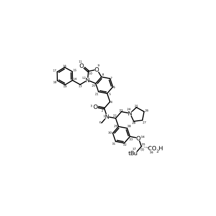 CN(C(=O)Cc1ccc2oc(=O)n(Cc3ccccc3)c2c1)C(CN1CCCC1)c1cccc(O[C@H](C(=O)O)C(C)(C)C)c1